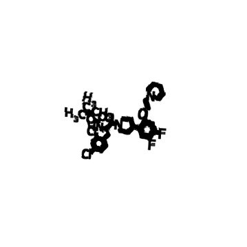 CC(C)(C)OC(=O)N[C@H](Cc1ccc(Cl)cc1Cl)C(=O)N1CCC(c2cc(F)c(F)cc2OCCN2CCCCC2)CC1